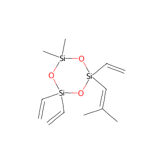 C=C[Si]1(C=C)O[Si](C)(C)O[Si](C=C)(C=C(C)C)O1